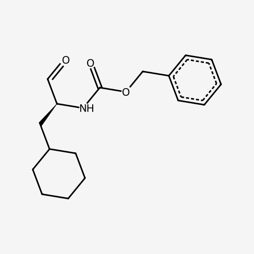 O=C[C@H](CC1CCCCC1)NC(=O)OCc1ccccc1